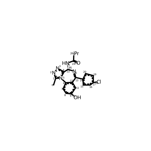 Cc1nnc2n1-c1ccc(O)cc1C(c1ccc(Cl)cc1)=N[C@H]2NC(=O)C(C)C